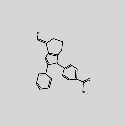 NC(=O)c1ccc(-n2c(-c3ccccc3)cc3c2CCC/C3=N\O)cc1